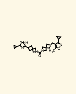 Cc1onc(C2CC2)c1CN1CC2(C1)CN(C(=O)N1CC3(CC(c4nc(C5CC5)n[nH]4)C3)C1)C2